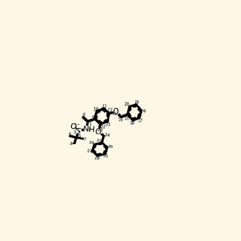 CC(N[S+]([O-])C(C)(C)C)c1ccc(OCc2ccccc2)cc1OCc1ccccc1